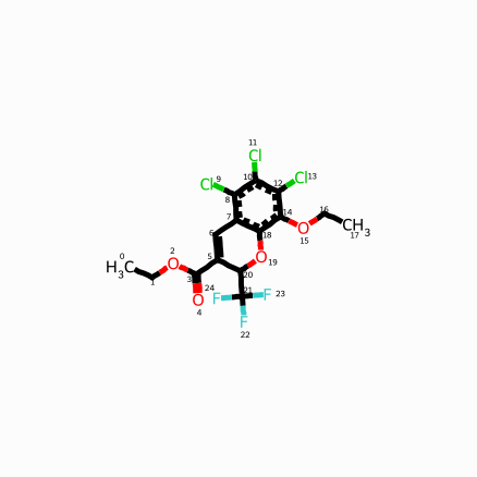 CCOC(=O)C1=Cc2c(Cl)c(Cl)c(Cl)c(OCC)c2OC1C(F)(F)F